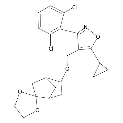 Clc1cccc(Cl)c1-c1noc(C2CC2)c1COC1CC2CC1CC21OCCO1